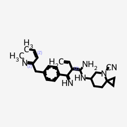 C=C/C(C(=N)c1ccc(CC(/C=C\C)=N/C)cc1)=C(\N)NC1CCC2(CC2)N(C#N)C1